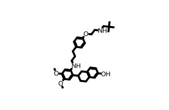 COc1cc(NCCCc2ccc(OCCNCC(C)(C)C)cc2)c(C2CCc3cc(O)ccc3C2)cc1OC